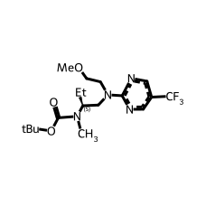 CC[C@@H](CN(CCOC)c1ncc(C(F)(F)F)cn1)N(C)C(=O)OC(C)(C)C